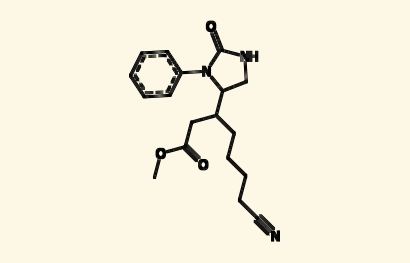 COC(=O)CC(CCCCC#N)C1CNC(=O)N1c1ccccc1